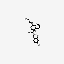 OCCO[C@H]1CC[C@@](F)(C(O)NCc2ccc(Cl)cc2F)c2cccnc21